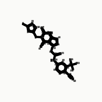 Cc1cc(Cn2c(=O)[nH]c3ncn(CC(=O)Nc4ccc(C#N)c(C(F)(F)F)n4)c3c2=O)no1